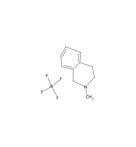 CN1CCc2ccccc2C1.F[B-](F)(F)F